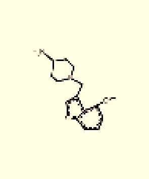 COc1cccc2occ(CN3CCC(N)CC3)c12